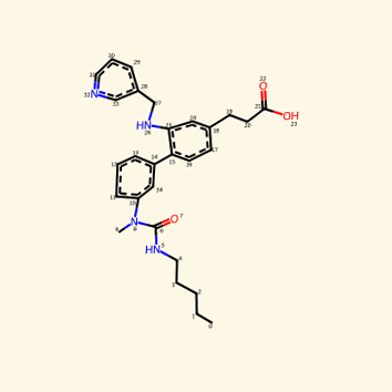 CCCCCNC(=O)N(C)c1cccc(-c2ccc(CCC(=O)O)cc2NCc2cccnc2)c1